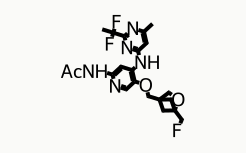 CC(=O)Nc1cc(Nc2cc(C)nc(C(C)(F)F)n2)c(OCC23COC(CF)(C2)C3)cn1